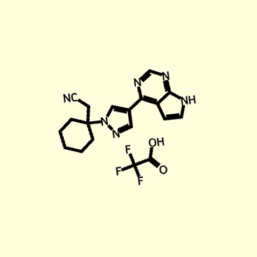 N#CCC1(n2cc(-c3ncnc4[nH]ccc34)cn2)CCCCC1.O=C(O)C(F)(F)F